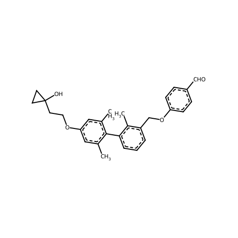 Cc1cc(OCCC2(O)CC2)cc(C)c1-c1cccc(COc2ccc(C=O)cc2)c1C